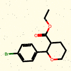 CCOC(=O)C1CCCOC1c1ccc(Br)cc1